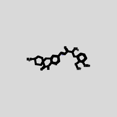 CCCOc1c(CC(C)C(=O)/C=C/c2cnc3c(c2)CC2(CCN(C)CC2)C(=O)N3)cccc1OC